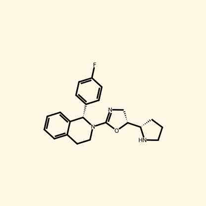 Fc1ccc([C@H]2c3ccccc3CCN2C2=NC[C@H]([C@@H]3CCCN3)O2)cc1